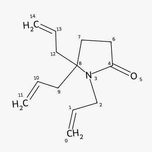 C=CCN1C(=O)CCC1(CC=C)CC=C